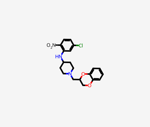 O=[N+]([O-])c1ccc(Cl)cc1NC1CCN(CC2COc3ccccc3O2)CC1